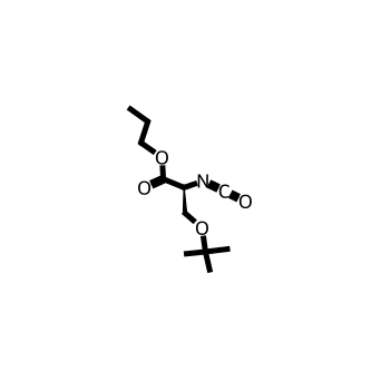 CCCOC(=O)[C@H](COC(C)(C)C)N=C=O